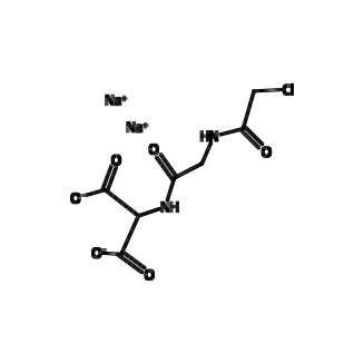 O=C(CCl)NCC(=O)NC(C(=O)[O-])C(=O)[O-].[Na+].[Na+]